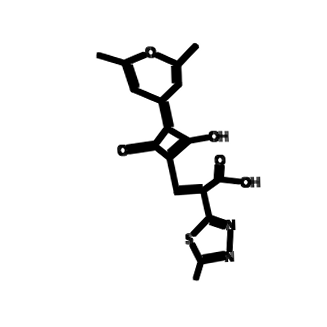 CC1=CC(=C2C(=O)C(/C=C(\C(=O)O)c3nnc(C)s3)=C2O)C=C(C)O1